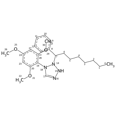 CCCCCCCC(c1ccccc1)N1NN=CN1c1c(OC)cc(OC)cc1OC